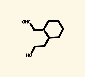 O=[C]CN1CCCCC1CCO